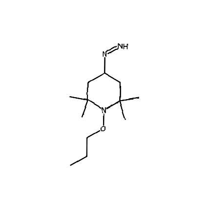 CCCON1C(C)(C)CC(N=N)CC1(C)C